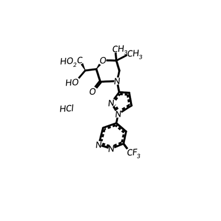 CC1(C)CN(c2ccn(-c3cnnc(C(F)(F)F)c3)n2)C(=O)[C@@H]([C@@H](O)C(=O)O)O1.Cl